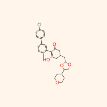 Cc1ccc(-c2ccc(Cl)cc2)cc1C1=C(O)CC(CC2OCC(C3CCOCC3)O2)CC1=O